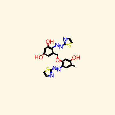 Cc1cc(/N=N/c2nccs2)c(OCc2cc(O)cc(O)c2/N=N/c2nccs2)cc1O